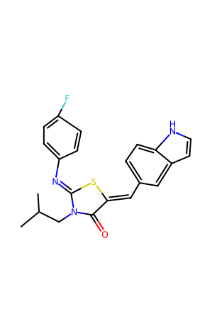 CC(C)CN1C(=O)C(=Cc2ccc3[nH]ccc3c2)SC1=Nc1ccc(F)cc1